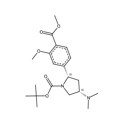 COC(=O)c1ccc([C@@H]2C[C@H](N(C)C)CN2C(=O)OC(C)(C)C)cc1OC